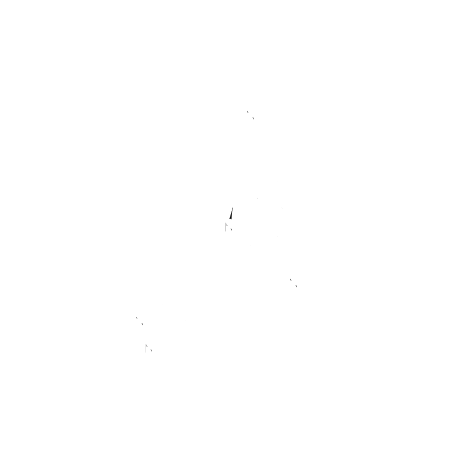 Cc1n[nH]cc1-c1ccc2ncc(C3(C=O)CC3)c(N[C@H]3CC[C@H](N)CC3)c2c1